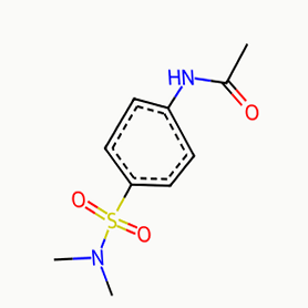 CC(=O)Nc1ccc(S(=O)(=O)N(C)C)cc1